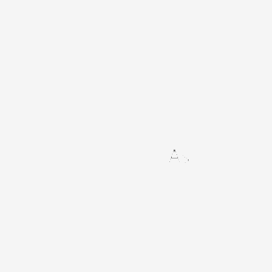 C#CC[As](C)C